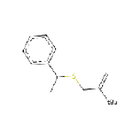 C=C(CSC(C)c1ccccc1)C(C)(C)C